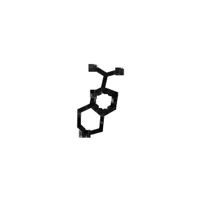 CCC(CC)c1ccc2c(n1)CCNC2